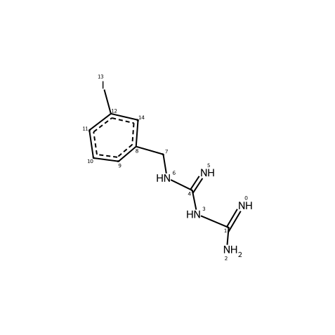 N=C(N)NC(=N)NCc1cccc(I)c1